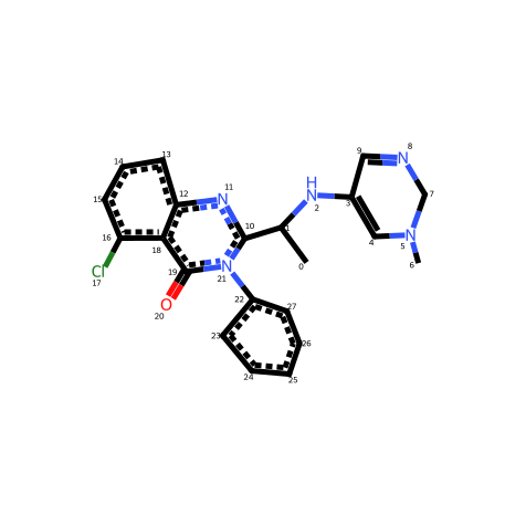 CC(NC1=CN(C)CN=C1)c1nc2cccc(Cl)c2c(=O)n1-c1ccccc1